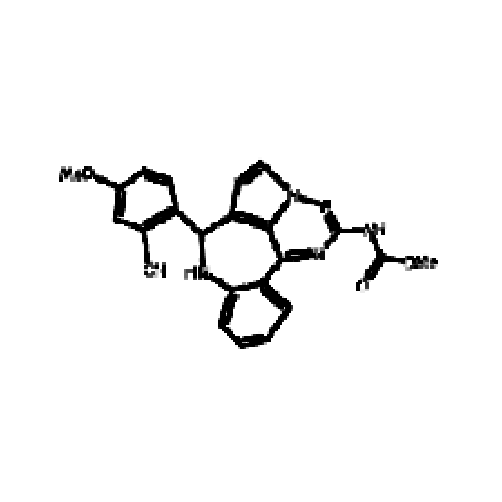 COC(=O)Nc1nc2c3c(ccn3n1)C(c1ccc(OC)cc1O)Nc1ccccc1-2